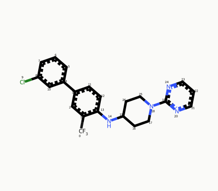 FC(F)(F)c1cc(-c2cccc(Cl)c2)ccc1NC1CCN(c2ncccn2)CC1